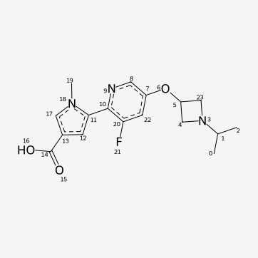 CC(C)N1CC(Oc2cnc(-c3cc(C(=O)O)cn3C)c(F)c2)C1